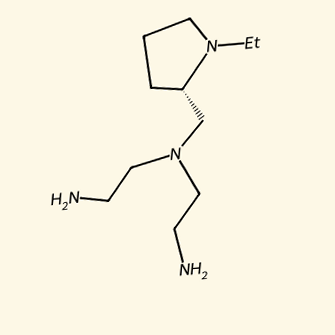 CCN1CCC[C@H]1CN(CCN)CCN